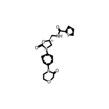 O=C(NC[C@H]1CN(c2ccc(N3CCOCC3=O)cc2)C(=O)O1)c1cccs1